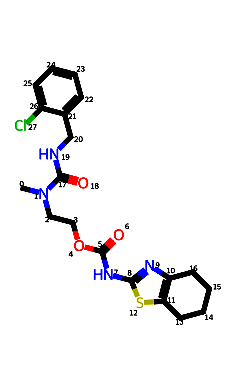 CN(CCOC(=O)Nc1nc2c(s1)CCCC2)C(=O)NCc1ccccc1Cl